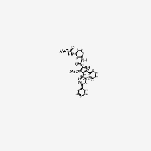 COC(=O)NC1CCCC(NC(=O)c2[nH]c3c(c2OC)c(=O)n(CC(=O)c2ccccc2)c2ccccc32)C1